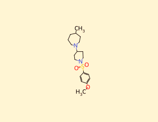 COc1ccc(S(=O)(=O)N2CCC(N3CCCC(C)CC3)CC2)cc1